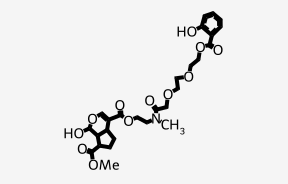 COC(=O)C1CCC2C(C(=O)OCCN(C)C(=O)COCCOCCOC(=O)c3ccccc3O)=COC(O)C12